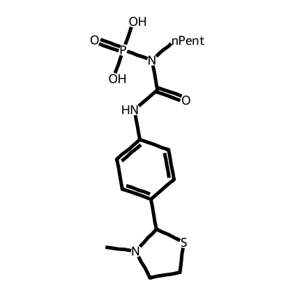 CCCCCN(C(=O)Nc1ccc(C2SCCN2C)cc1)P(=O)(O)O